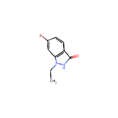 CCn1[nH]c(=O)c2ccc(Br)cc21